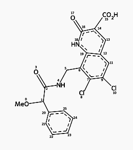 COC(C(=O)NCc1c(Cl)c(Cl)cc2cc(C(=O)O)c(=O)[nH]c12)c1ccccc1